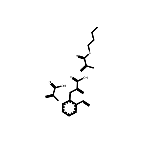 C=C(C)C(=O)O.C=C(C)C(=O)OCCCC.C=Cc1ccccc1CC(=C)C(=O)O